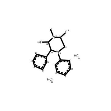 CN1C(F)CN(c2ccccc2)C(c2ccccc2)C1F.Cl.Cl